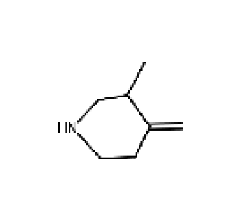 C=C1CCNCC1C